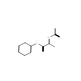 CC(=O)NC(C)C(=O)NC1CCCCC1